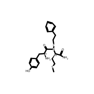 CSCC[C@H](C(N)=O)N(CCCc1ccccc1)C(=O)[C@@H](N)Cc1ccc(O)cc1